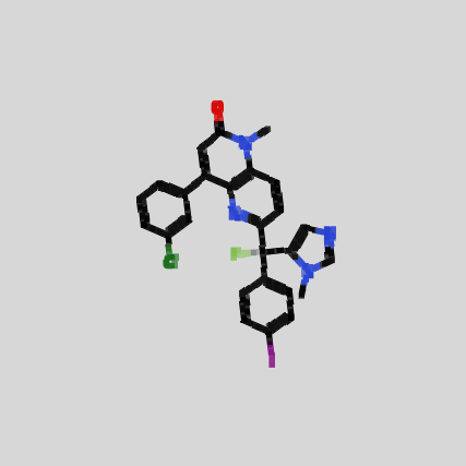 Cn1cncc1[C@@](F)(c1ccc(I)cc1)c1ccc2c(n1)c(-c1cccc(Cl)c1)cc(=O)n2C